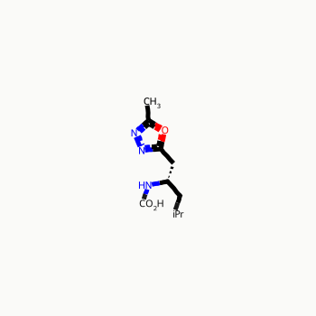 Cc1nnc(C[C@H](CC(C)C)NC(=O)O)o1